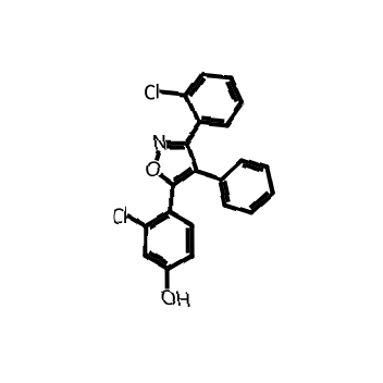 Oc1ccc(-c2onc(-c3ccccc3Cl)c2-c2ccccc2)c(Cl)c1